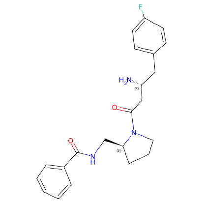 N[C@@H](CC(=O)N1CCC[C@H]1CNC(=O)c1ccccc1)Cc1ccc(F)cc1